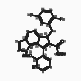 COC(=O)c1c(C2=CC=CNC2OC)c2c3sccc3ccc2n1Cc1cc(F)ccc1F